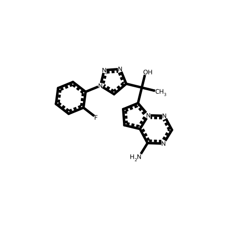 CC(O)(c1cn(-c2ccccc2F)nn1)c1ccc2c(N)ncnn12